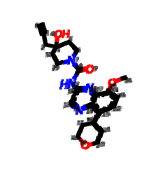 C#CCC1(O)CCN(C(=O)Nc2cnc3c(C4CCOCC4)ccc(OC)c3n2)CC1